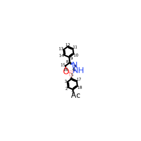 CC(=O)c1ccc(B2NN=C(c3ccccc3)CO2)cc1